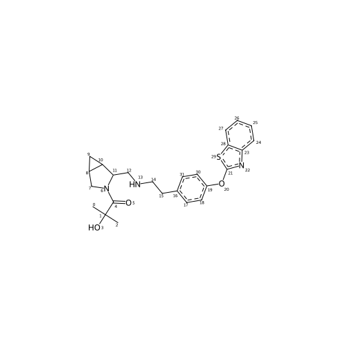 CC(C)(O)C(=O)N1CC2CC2C1CNCCc1ccc(Oc2nc3ccccc3s2)cc1